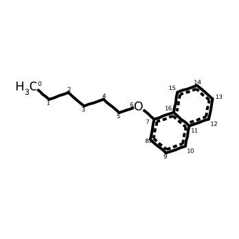 CCCCCCOc1[c]ccc2ccccc12